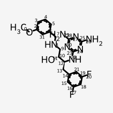 COc1cccc(CNC[C@@H](O)[C@H](Cc2cc(F)cc(F)c2)Nc2nc(N)nc(N)n2)c1